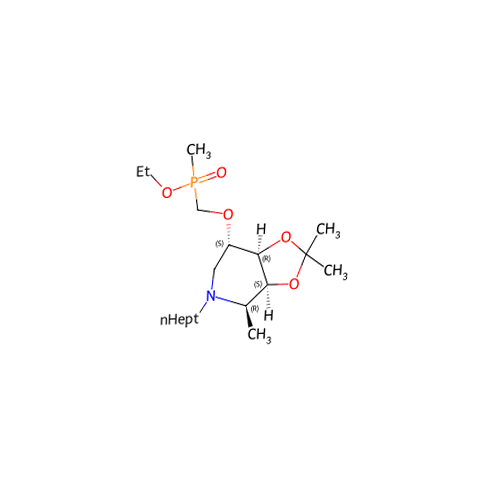 CCCCCCCN1C[C@H](OCP(C)(=O)OCC)[C@H]2OC(C)(C)O[C@H]2[C@H]1C